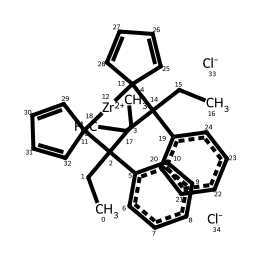 CCC(CC)(c1ccccc1)[C]1([Zr+2][C]2(C(CC)(CC)c3ccccc3)C=CC=C2)C=CC=C1.[Cl-].[Cl-]